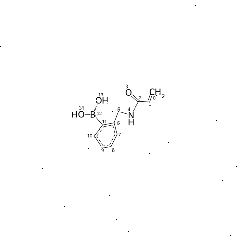 C=CC(=O)NCc1ccccc1B(O)O